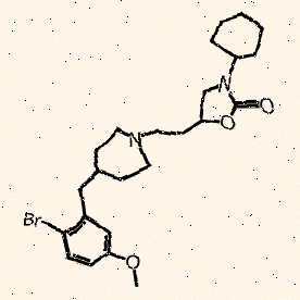 COc1ccc(Br)c(CC2CCN(CCC3CN(C4CCCCC4)C(=O)O3)CC2)c1